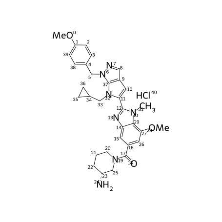 COc1ccc(Cn2ncc3cc(-c4nc5cc(C(=O)N6CCC[C@@H](N)C6)cc(OC)c5n4C)n(CC4CC4)c32)cc1.Cl